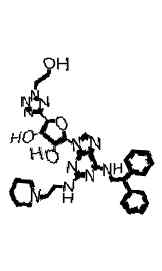 OCCn1nnc([C@H]2O[C@@H](n3cnc4c(NCC(c5ccccc5)c5ccccc5)nc(NCCN5CCCCC5)nc43)[C@H](O)[C@@H]2O)n1